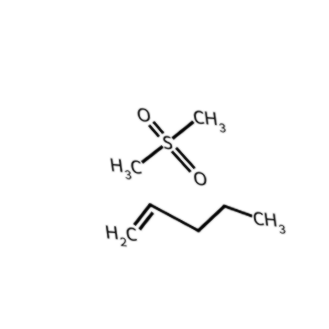 C=CCCC.CS(C)(=O)=O